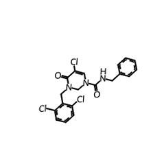 O=C(NCc1ccccc1)N1C=C(Cl)C(=O)N(Cc2c(Cl)cccc2Cl)C1